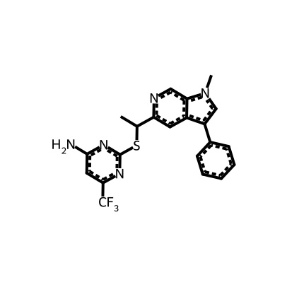 CC(Sc1nc(N)cc(C(F)(F)F)n1)c1cc2c(-c3ccccc3)cn(C)c2cn1